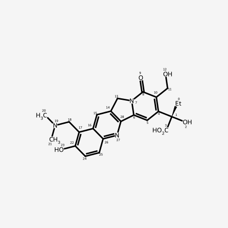 CC[C@@](O)(C(=O)O)c1cc2n(c(=O)c1CO)Cc1cc3c(CN(C)C)c(O)ccc3nc1-2